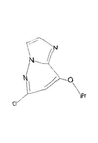 CC(C)Oc1cc(Cl)nn2ccnc12